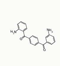 Nc1cccc(C(=O)c2ccc(C(=O)c3ccccc3N)cc2)c1